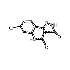 O=c1[nH]nc2c3ccc(Cl)cc3[nH]c(=O)n12